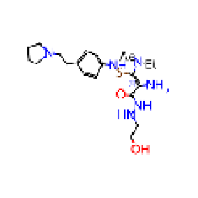 CCN(C(C)=O)/C(SNc1ccc(CCN2CCCC2)cc1)=C(\N)C(=O)NNCCO